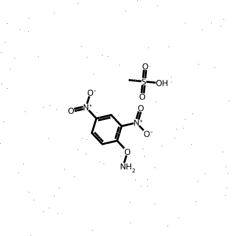 CS(=O)(=O)O.NOc1ccc([N+](=O)[O-])cc1[N+](=O)[O-]